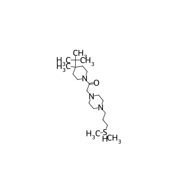 C[SH](C)CCCN1CCN(CC(=O)N2CCC(C)(C(C)(C)C)CC2)CC1